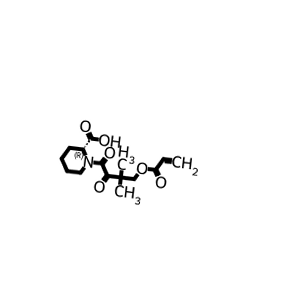 C=CC(=O)OCC(C)(C)C(=O)C(=O)N1CCCC[C@@H]1C(=O)O